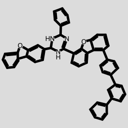 c1ccc(-c2cccc(-c3ccc(-c4cccc5oc6c(C7=NC(c8ccccc8)NC(c8ccc9c(c8)oc8ccccc89)N7)cccc6c45)cc3)c2)cc1